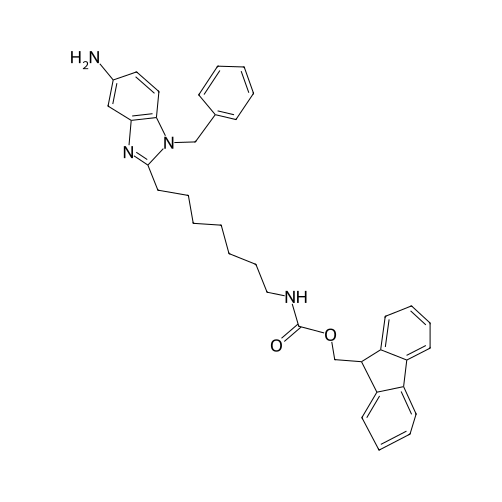 Nc1ccc2c(c1)nc(CCCCCCCNC(=O)OCC1c3ccccc3-c3ccccc31)n2Cc1ccccc1